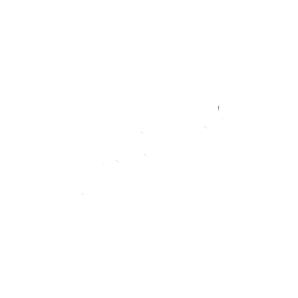 CCc1nocc1C(=O)NC(c1nc2c(F)c(CN3CCC[C@@H]3C(=O)O)ccc2[nH]1)C1CCC(C)CC1